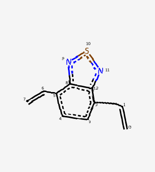 C=Cc1ccc(C=C)c2nsnc12